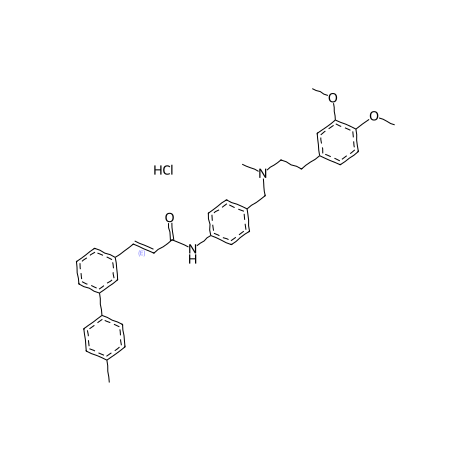 COc1ccc(CCN(C)Cc2ccc(NC(=O)/C=C/c3cccc(-c4ccc(C)cc4)c3)cc2)cc1OC.Cl